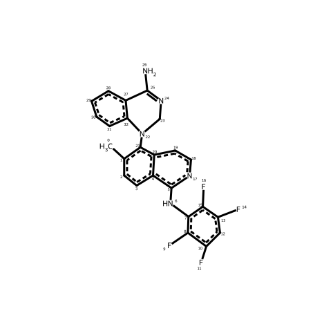 Cc1ccc2c(Nc3c(F)c(F)cc(F)c3F)nccc2c1N1CN=C(N)c2ccccc21